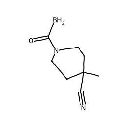 BC(=O)N1CCC(C)(C#N)CC1